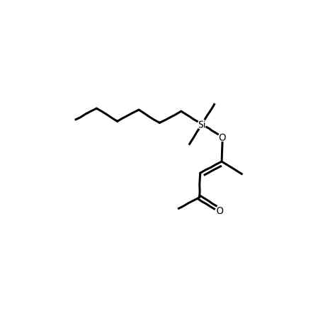 CCCCCC[Si](C)(C)OC(C)=CC(C)=O